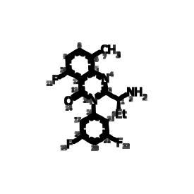 CC[C@H](N)c1nc2c(C)ccc(F)c2c(=O)n1-c1cc(F)cc(F)c1